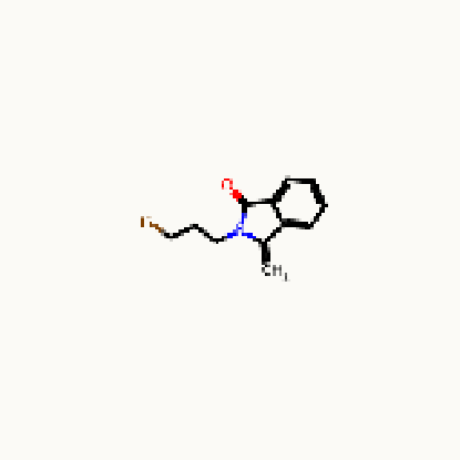 C=C1c2ccccc2C(=O)N1CCCS